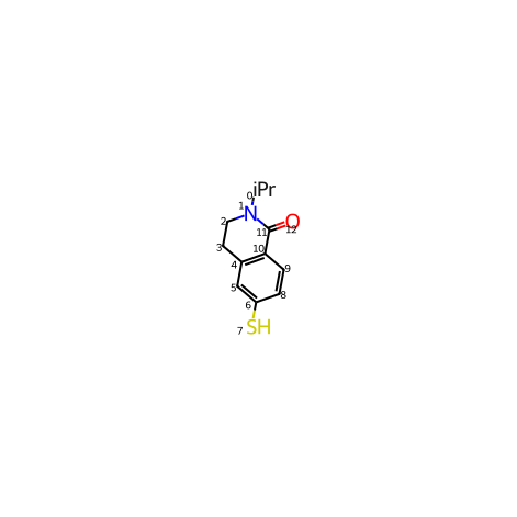 CC(C)N1CCc2cc(S)ccc2C1=O